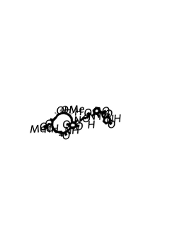 CO[C@H]1/C=C\C=C(/C)C(=O)NC2=CC(=O)C(NCCOC(=O)Nc3cccc4c3CN(C3CCC(=O)NC3=O)C4=O)=C(C[C@@H](C)C[C@H](OC)[C@@H](O)[C@@H](C)/C=C(\C)[C@@H]1OC(N)=O)C2=O